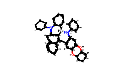 B1c2ccccc2N(C2=CCCC=C2)c2cc3c#cccc3c(-c3cc4c(cc3Nc3ccccc3)Oc3ccccc3O4)c21